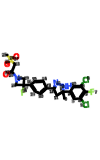 CC1(c2cc(Cl)c(F)c(Cl)c2)CC(c2ccc(C3(F)CN(C(=O)CS(C)(=O)=O)C3)cc2)=NN1